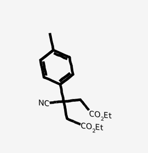 CCOC(=O)CC(C#N)(CC(=O)OCC)c1ccc(C)cc1